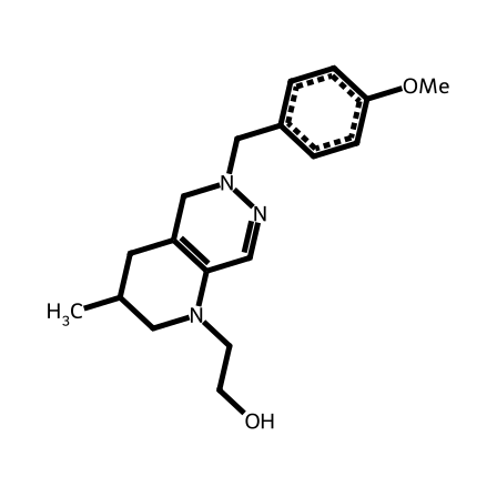 COc1ccc(CN2CC3=C(C=N2)N(CCO)CC(C)C3)cc1